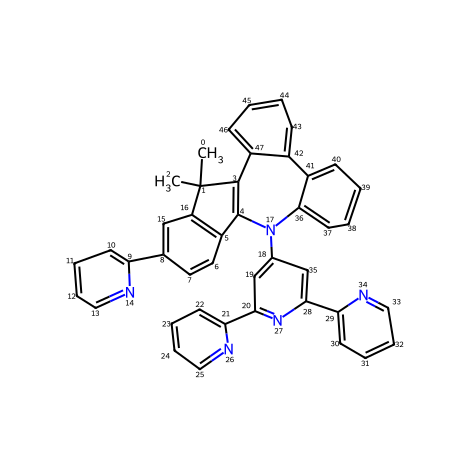 CC1(C)C2=C(c3ccc(-c4ccccn4)cc31)N(c1cc(-c3ccccn3)nc(-c3ccccn3)c1)c1ccccc1-c1ccccc12